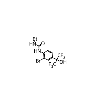 CCNC(=O)Nc1ccc(C(O)(C(F)(F)F)C(F)(F)F)cc1Br